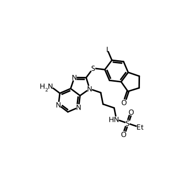 CCS(=O)(=O)NCCCn1c(Sc2cc3c(cc2I)CCC3=O)nc2c(N)ncnc21